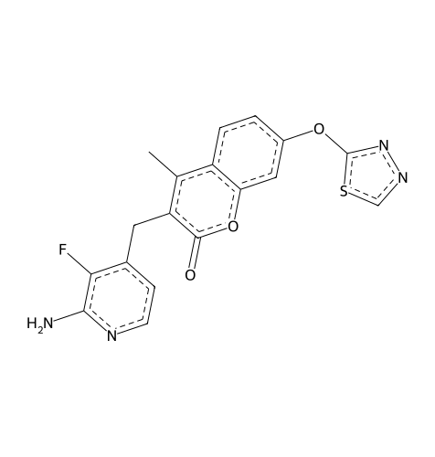 Cc1c(Cc2ccnc(N)c2F)c(=O)oc2cc(Oc3nncs3)ccc12